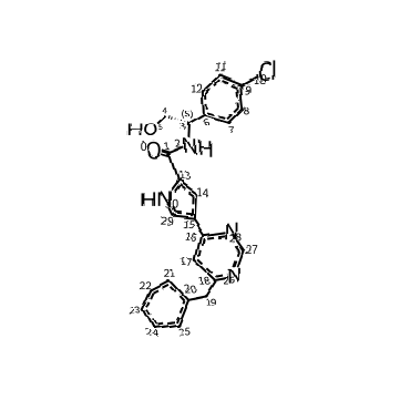 O=C(N[C@H](CO)c1ccc(Cl)cc1)c1cc(-c2cc(Cc3ccccc3)ncn2)c[nH]1